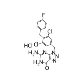 C/C(N)=N\c1c(C(N)=O)nnn1Cc1cc(Cl)c(Cc2ccc(F)cc2)c(Cl)c1.Cl